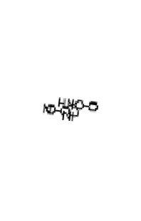 O=c1[nH]cc(-c2ccncc2)cc1NC1CCC(c2ccccc2)CC1